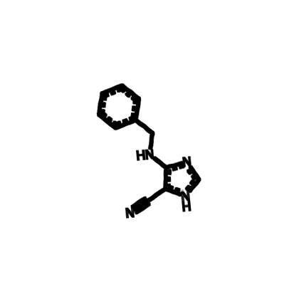 N#Cc1[nH]cnc1NCc1ccccc1